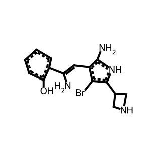 N/C(=C\c1c(N)[nH]c(C2CNC2)c1Br)c1ccccc1O